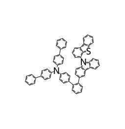 c1ccc(-c2ccc(N(c3ccc(-c4ccccc4)cc3)c3ccc(-c4ccccc4-c4ccc5c(c4)c4ccccc4n5-c4cccc5c4sc4ccccc45)cc3)cc2)cc1